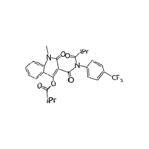 CC(C)C(=O)Oc1c(C(=O)N(C(=O)C(C)C)c2ccc(C(F)(F)F)cc2)c(=O)n(C)c2ccccc12